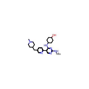 CCCCNc1ncc(-c2ccc(CC3CCN(C)CC3)cn2)c(NC2CCC(O)CC2)n1